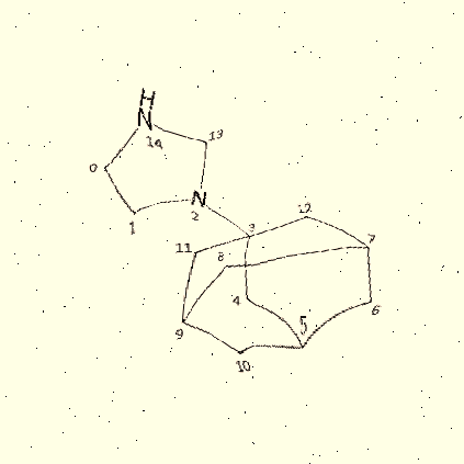 C1CN(C23CC4CC(CC(C4)C2)C3)CN1